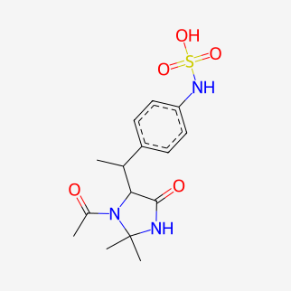 CC(=O)N1C(C(C)c2ccc(NS(=O)(=O)O)cc2)C(=O)NC1(C)C